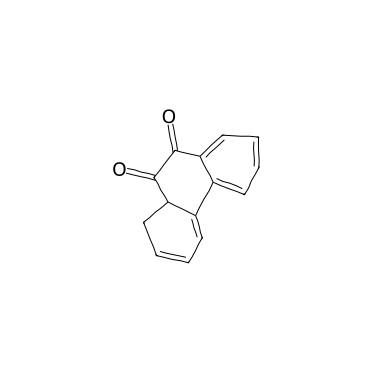 O=C1C(=O)C2CC=CC=C2c2ccccc21